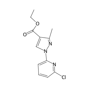 CCOC(=O)c1cn(-c2cccc(Cl)n2)nc1C